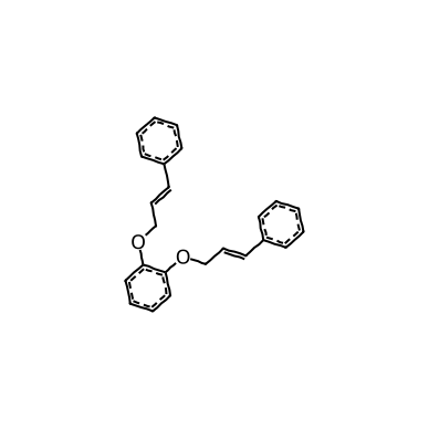 C(=Cc1ccccc1)COc1ccccc1OCC=Cc1ccccc1